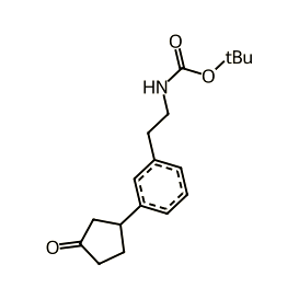 CC(C)(C)OC(=O)NCCc1cccc(C2CCC(=O)C2)c1